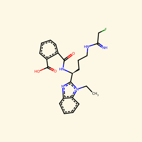 CCn1c([C@H](CCCNC(=N)CF)NC(=O)c2ccccc2C(=O)O)nc2ccccc21